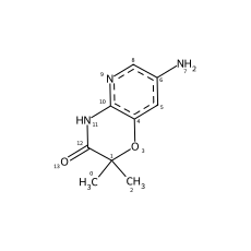 CC1(C)Oc2cc(N)cnc2NC1=O